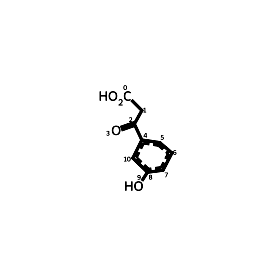 O=C(O)CC(=O)c1cccc(O)c1